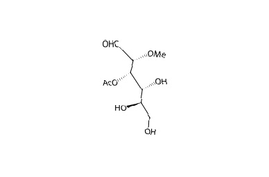 CO[C@@H](C=O)[C@@H](OC(C)=O)[C@H](O)[C@H](O)CO